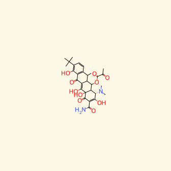 CC(=O)C(=O)OC1C2C(=C(O)C3(O)C(=O)C(C(N)=O)=C(O)[C@@H](N(C)C)C13)C(=O)c1c(ccc(C(C)(C)C)c1O)C2C